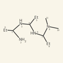 CCC(N)NC(CC)NC(CC)N(C)C